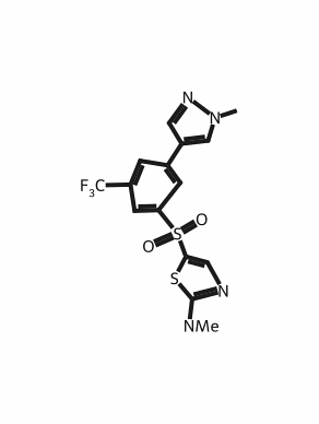 CNc1ncc(S(=O)(=O)c2cc(-c3cnn(C)c3)cc(C(F)(F)F)c2)s1